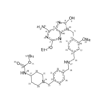 CCOc1nc(N)c2nc(O)n(Cc3ccc(CNCc4ccc(CN5CCC(NC(=O)OC(C)(C)C)CC5)cc4)cc3OC)c2n1